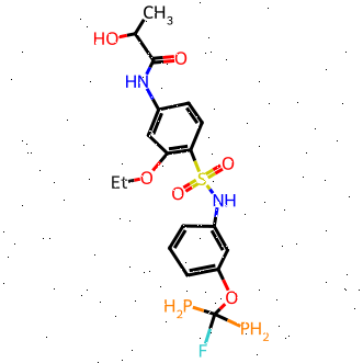 CCOc1cc(NC(=O)C(C)O)ccc1S(=O)(=O)Nc1cccc(OC(F)(P)P)c1